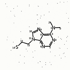 CN(C)c1ncnc2c1ncn2CC[S]